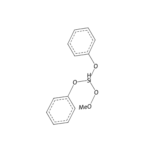 COO[SiH](Oc1ccccc1)Oc1ccccc1